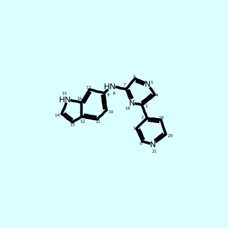 c1cc(-c2cncc(Nc3ccc4cc[nH]c4c3)n2)ccn1